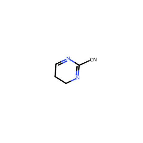 N#CC1=NCCC=N1